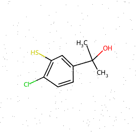 CC(C)(O)c1ccc(Cl)c(S)c1